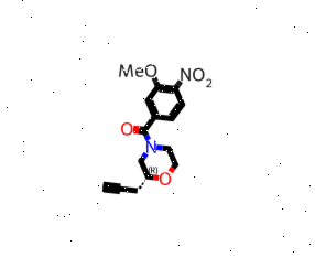 C#CC[C@@H]1CN(C(=O)c2ccc([N+](=O)[O-])c(OC)c2)CCO1